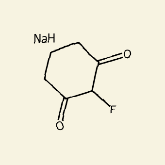 O=C1CCCC(=O)C1F.[NaH]